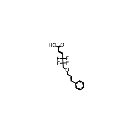 O=C(O)/C=C/C(F)(F)C(F)(F)COC/C=C/c1ccccc1